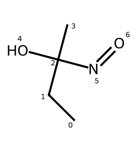 CCC(C)(O)N=O